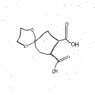 O=C(O)C1CC2(CC1C(=O)O)OCCO2